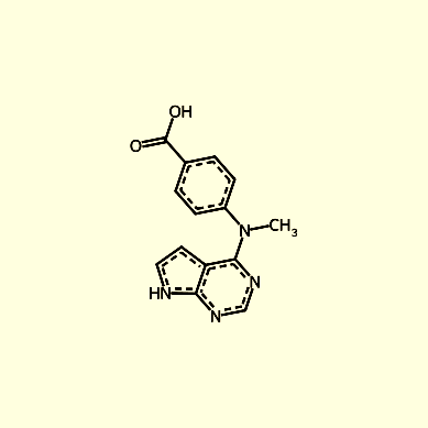 CN(c1ccc(C(=O)O)cc1)c1ncnc2[nH]ccc12